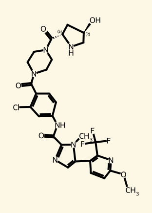 COc1ccc(-c2cnc(C(=O)Nc3ccc(C(=O)N4CCN(C(=O)[C@@H]5C[C@@H](O)CN5)CC4)c(Cl)c3)n2C)c(C(F)(F)F)n1